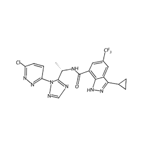 C[C@H](NC(=O)c1cc(C(F)(F)F)cc2c(C3CC3)n[nH]c12)c1ncnn1-c1ccc(Cl)nn1